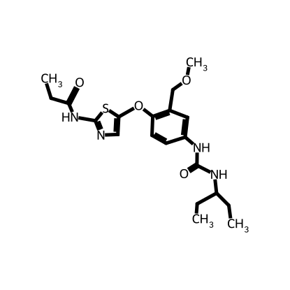 CCC(=O)Nc1ncc(Oc2ccc(NC(=O)NC(CC)CC)cc2COC)s1